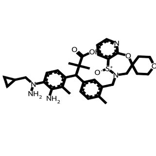 Cc1ccc(C(c2ccc(N(N)CC3CC3)c(N)c2C)C(C)(C)C(=O)O)cc1CN1CC2(CCOCC2)Oc2ncccc2[S+]1[O-]